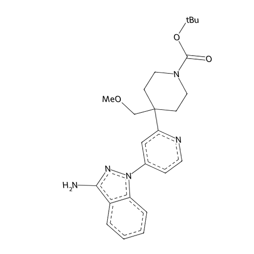 COCC1(c2cc(-n3nc(N)c4ccccc43)ccn2)CCN(C(=O)OC(C)(C)C)CC1